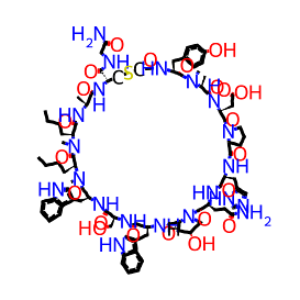 CCCC[C@H]1C(=O)N(C)[C@@H](CCCC)C(=O)N[C@@H](C)C(=O)N[C@H](C(=O)NCC(N)=O)CSCC(=O)N[C@@H](Cc2ccc(O)cc2)C(=O)N(C)[C@@H](C)C(=O)N[C@@H](CC(=O)O)C(=O)N2CCCC2C(=O)N[C@@H](Cc2cnc[nH]2)C(=O)N[C@@H](CCC(N)=O)C(=O)N2C[C@H](O)C[C@H]2C(=O)N[C@@H](Cc2c[nH]c3ccccc23)C(=O)N[C@@H](CO)C(=O)N[C@@H](Cc2c[nH]c3ccccc23)C(=O)N1C